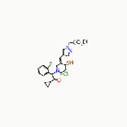 CCOC(=O)Cn1cc(/C=C2/CN(C(C(=O)C3CC3)c3ccccc3F)CCC2S)cn1.Cl